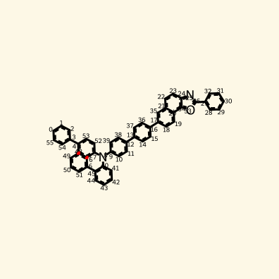 c1ccc(-c2ccc(N(c3ccc(-c4ccc(-c5ccc6c(ccc7nc(-c8ccccc8)oc76)c5)cc4)cc3)c3ccccc3-c3ccccc3)cc2)cc1